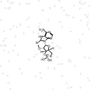 CO[C@H]1[C@H]2O[PH](O)(S)OC[C@H]2O[C@H]1N1c2ncnc(N)c2NC1Br